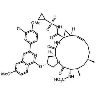 COc1ccc2c(O[C@@H]3C[C@H]4C(=O)N[C@]5(C(=O)NS(=O)(=O)C6CC6)C[C@H]5/C=C\CC[C@@H](C)C[C@@H](C)[C@H](NC(=O)O)C(=O)N4C3)nc(-c3ccc(OC)c(Cl)c3)cc2c1